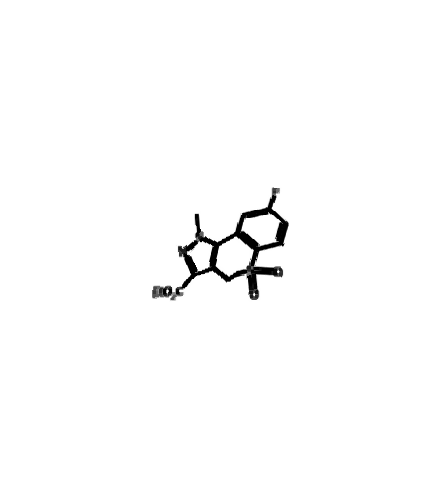 CCOC(=O)c1nn(C)c2c1CS(=O)(=O)c1ccc(F)cc1-2